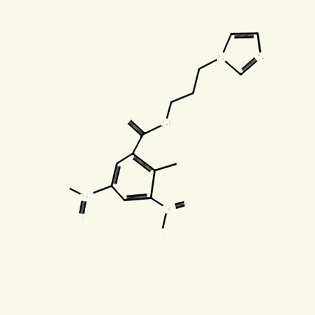 O=C(NCCCn1ccnc1)c1cc([N+](=O)[O-])cc([N+](=O)[O-])c1O